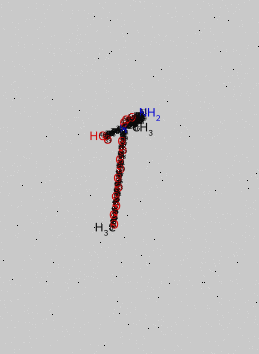 COCCOCCOCCOCCOCCOCCOCCOCCOCCOCCCN(CCCCCC(=O)O)C(=O)Cc1c(C)c2ccc(N)cc2oc1=O